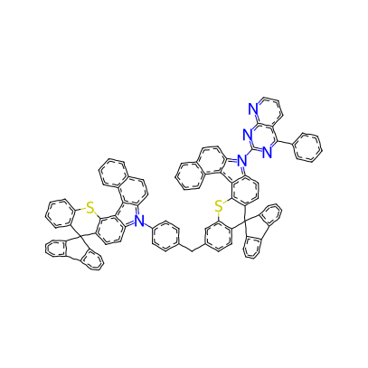 c1ccc(-c2nc(-n3c4ccc5c(c4c4c6ccccc6ccc43)Sc3cc(Cc4ccc(-n6c7ccc8c(c7c7c9ccccc9ccc76)Sc6ccccc6C86c7ccccc7-c7ccccc76)cc4)ccc3C53c4ccccc4-c4ccccc43)nc3ncccc23)cc1